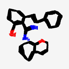 C1=Cc2ccccc2OC1.N=C(N)c1c(O)cccc1C=Cc1ccccc1